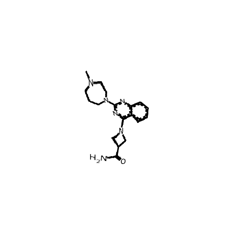 CN1CCCN(c2nc(N3CC(C(N)=O)C3)c3ccccc3n2)CC1